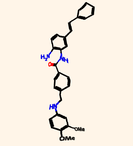 COc1ccc(NCc2ccc(C(=O)Nc3cc(/C=C/c4ccccc4)ccc3N)cc2)cc1OC